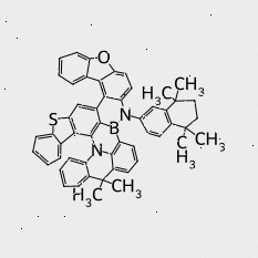 CC1(C)CCC(C)(C)c2cc(N3B4c5cccc6c5N(c5ccccc5C6(C)C)c5c4c(cc4sc6ccccc6c54)-c4c3ccc3oc5ccccc5c43)ccc21